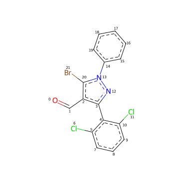 O=Cc1c(-c2c(Cl)cccc2Cl)nn(-c2ccccc2)c1Br